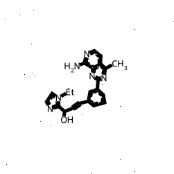 CCn1ccnc1C(O)C#Cc1cccc(-c2nc(C)c3ccnc(N)c3n2)c1